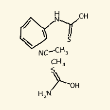 C.CC#N.NC(O)=S.OC(=S)Nc1ccccc1